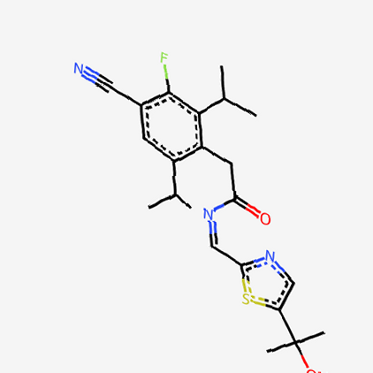 CC(C)c1cc(C#N)c(F)c(C(C)C)c1CC(=O)/N=C\c1ncc(C(C)(C)O)s1